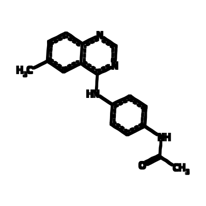 CC(=O)Nc1ccc(Nc2ncnc3ccc(C)cc23)cc1